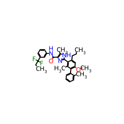 CCCc1cc(OC)c(-c2ccccc2C)c(C)c1-c1nc(C(=O)Nc2cccc(C(F)(F)CC)c2)c(C)[nH]1